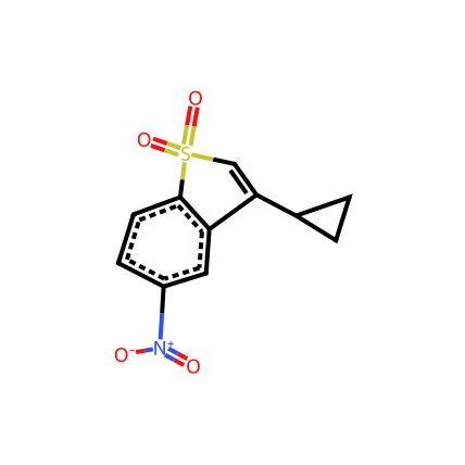 O=[N+]([O-])c1ccc2c(c1)C(C1CC1)=CS2(=O)=O